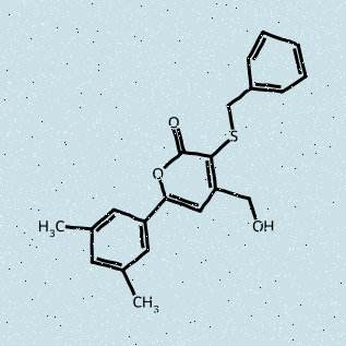 Cc1cc(C)cc(-c2cc(CO)c(SCc3ccccc3)c(=O)o2)c1